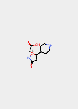 CC(=O)O.O=c1cc(C2CCNCC2)o[nH]1